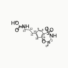 C[C@@H]1CNS(=O)(=O)c2ccc(CCCNC(=O)O)cc2O1